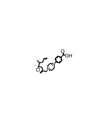 C=CCC(C)[C@](C)(Cl)CC(=C)CN1CCN(c2ccc(C(=O)O)cc2)CC1